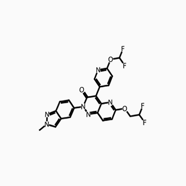 Cn1cc2cc(-n3nc4ccc(OCC(F)F)nc4c(-c4ccc(OC(F)F)nc4)c3=O)ccc2n1